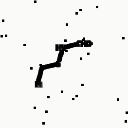 CCCSN[C]=O